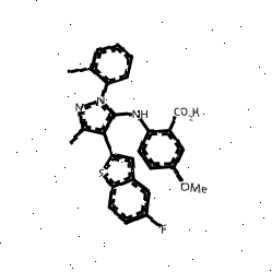 COc1ccc(Nc2c(-c3cc4cc(F)ccc4s3)c(C)nn2-c2ccccc2C)c(C(=O)O)c1